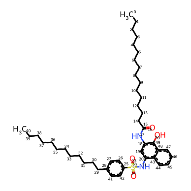 CCCCCCCCCCCCCCCC(=O)Nc1cc(NS(=O)(=O)c2ccc(CCCCCCCCCCCC)cc2)c2ccccc2c1O